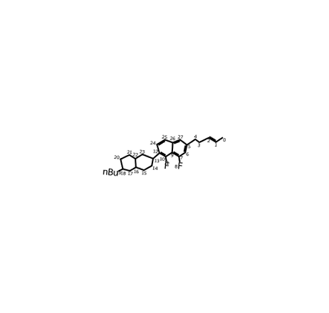 C/C=C/CCc1cc(F)c2c(F)c(C3CCC4CC(CCCC)CCC4C3)ccc2c1